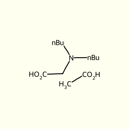 CC(=O)O.CCCCN(CCCC)CC(=O)O